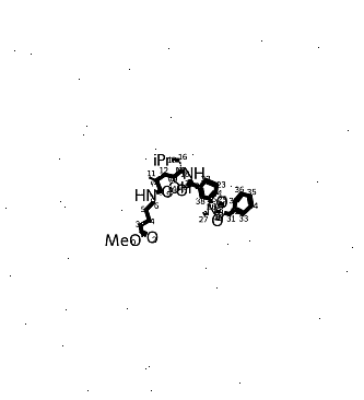 COC(=O)CCCCNC(=O)[C@@H](C)C[C@H](O)[C@H](CC(C)C)NC(=O)c1cccc(N(C)S(=O)(=O)Cc2ccccc2)c1